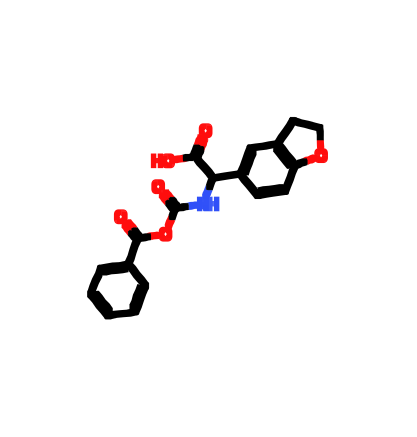 O=C(NC(C(=O)O)c1ccc2c(c1)CCO2)OC(=O)c1ccccc1